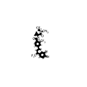 CN(CC(F)(F)F)C(=O)C1(NC(=O)c2ccc(C(F)=CC(c3ccc(Br)c(Br)c3)C(F)(F)F)cc2C(F)(F)F)CC1